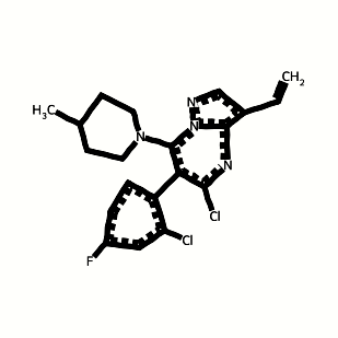 C=Cc1cnn2c(N3CCC(C)CC3)c(-c3ccc(F)cc3Cl)c(Cl)nc12